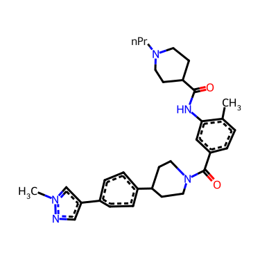 CCCN1CCC(C(=O)Nc2cc(C(=O)N3CCC(c4ccc(-c5cnn(C)c5)cc4)CC3)ccc2C)CC1